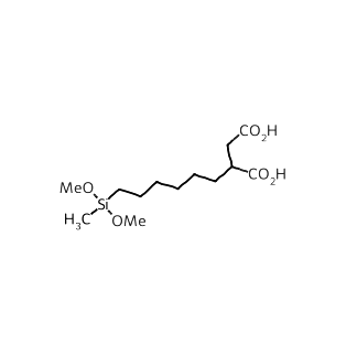 CO[Si](C)(CCCCCCC(CC(=O)O)C(=O)O)OC